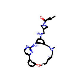 CC#CC(=O)N1CC(CNc2cc3cc(c2)Nc2nccc(n2)-c2cccc(c2)OCC/C=C/CN(C)C3)C1